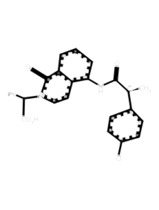 CC(C)C(C(=O)O)n1ccc2c(NC(=O)[C@@H](C)c3ccc(Cl)cc3)cccc2c1=O